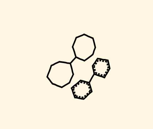 C1CCCC(C2CCCCCCC2)CCC1.c1ccc(-c2ccccc2)cc1